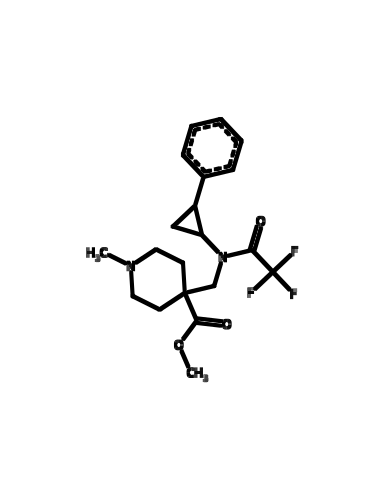 COC(=O)C1(CN(C(=O)C(F)(F)F)C2CC2c2ccccc2)CCN(C)CC1